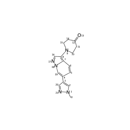 Cn1cc(-c2ccc3c(N4CCC(=O)CC4)cnn3c2)cn1